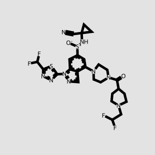 N#CC1(N[S+]([O-])c2cc(N3CCN(C(=O)C4CCN(CC(F)F)CC4)CC3)c3cnn(-c4nnc(C(F)F)s4)c3c2)CC1